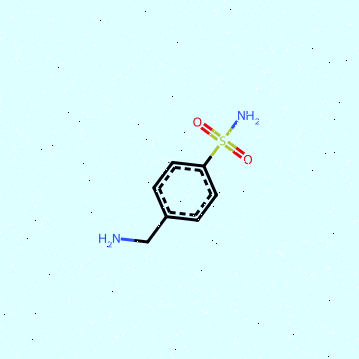 NCc1c[c]c(S(N)(=O)=O)cc1